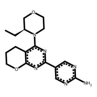 CC[C@H]1COCCN1c1nc(-c2cnc(N)nc2)nc2c1CCCO2